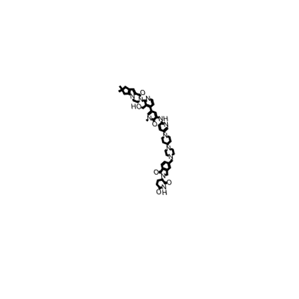 Cn1cc(-c2ccnc(N3CCn4c(cc5c4CC(C)(C)C5)C3=O)c2CO)cc(Nc2ccc(N3CCC(N4CCN(Cc5ccc6c(c5)CN(C5CCC(=O)NC5=O)C6=O)CC4)CC3)cn2)c1=O